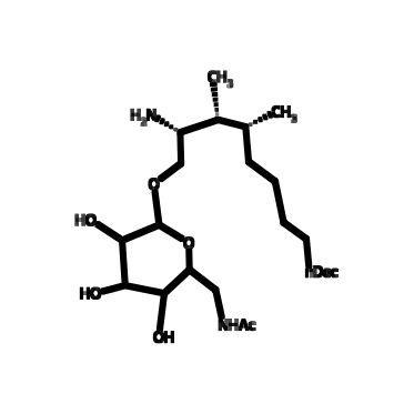 CCCCCCCCCCCCCC[C@@H](C)[C@@H](C)[C@@H](N)COC1OC(CNC(C)=O)C(O)C(O)C1O